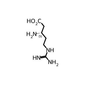 N=C(N)NCC[C@H](N)CC(=O)O